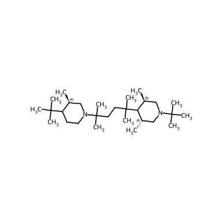 C[C@H]1CN(C(C)(C)CCC(C)(C)C2[C@@H](C)CN(C(C)(C)C)C[C@@H]2C)CCC1C(C)(C)C